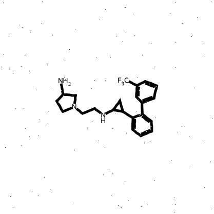 NC1CCN(CCNC2CC2c2ccccc2-c2cccc(C(F)(F)F)c2)C1